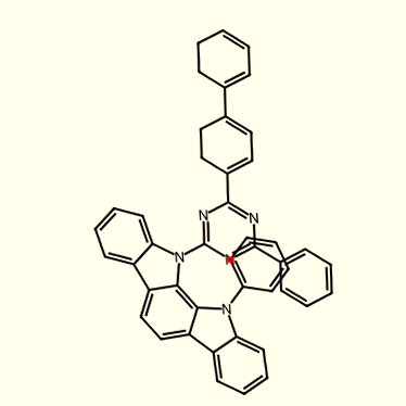 C1=CCCC(C2=CC=C(c3nc(-c4ccccc4)nc(-n4c5ccccc5c5ccc6c7ccccc7n(-c7ccccc7)c6c54)n3)CC2)=C1